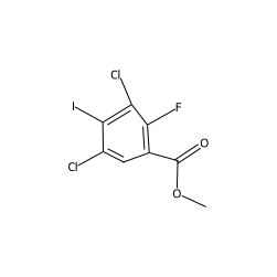 COC(=O)c1cc(Cl)c(I)c(Cl)c1F